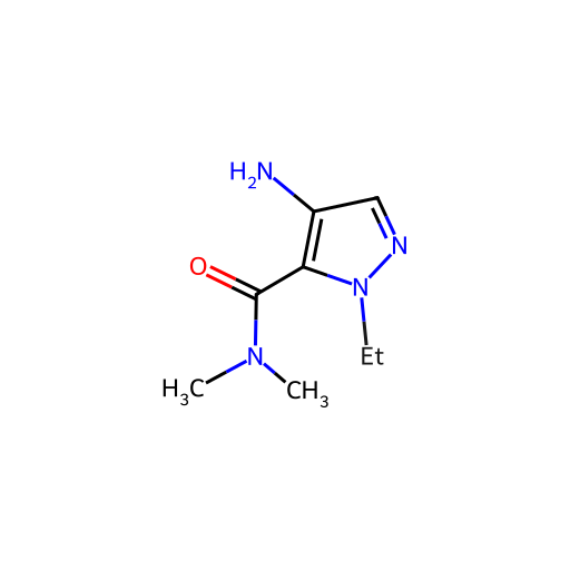 CCn1ncc(N)c1C(=O)N(C)C